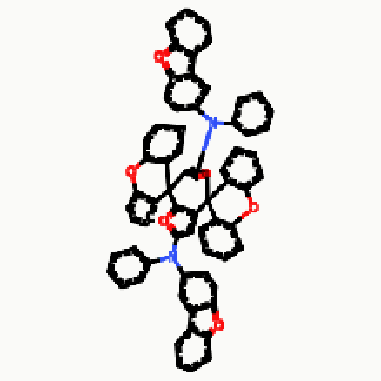 c1ccc(N(c2ccc3oc4ccccc4c3c2)c2cc3c(o2)C2(c4ccccc4Oc4ccccc42)c2cc(N(c4ccccc4)c4ccc5oc6ccccc6c5c4)oc2C32c3ccccc3Oc3ccccc32)cc1